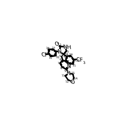 O=C1NC[C@](Cc2ccc(N3CCOCC3)nc2)(c2cccc(C(F)(F)F)c2)N1c1ccc(Cl)cc1